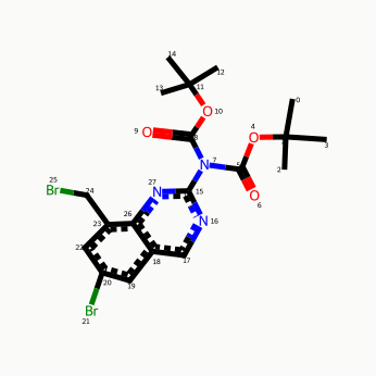 CC(C)(C)OC(=O)N(C(=O)OC(C)(C)C)c1ncc2cc(Br)cc(CBr)c2n1